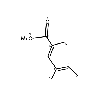 CC=C(C)C=C(C)C(=O)OC